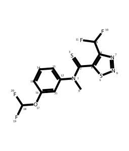 CN(C(=S)c1snnc1C(F)F)c1cccc(OC(F)F)c1